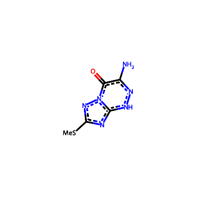 CSc1nc2[nH]nc(N)c(=O)n2n1